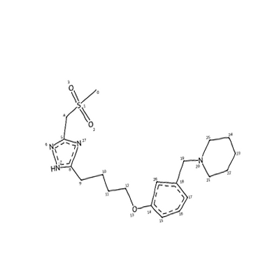 CS(=O)(=O)Cc1n[nH]c(CCCCOc2cccc(CN3CCCCC3)c2)n1